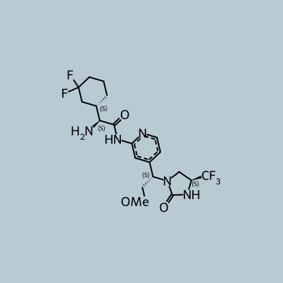 COC[C@H](c1ccnc(NC(=O)[C@@H](N)[C@H]2CCCC(F)(F)C2)c1)N1C[C@@H](C(F)(F)F)NC1=O